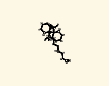 C[SiH](C)C1(C2([SiH](C)CCCOCCO)CCCCO2)CCCCO1